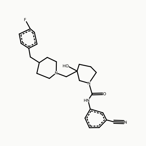 N#Cc1cccc(NC(=O)N2CCCC(O)(CN3CCC(Cc4ccc(F)cc4)CC3)C2)c1